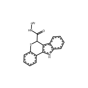 CCCNC(=O)C1Sc2ccccc2-c2[nH]c3ccccc3c21